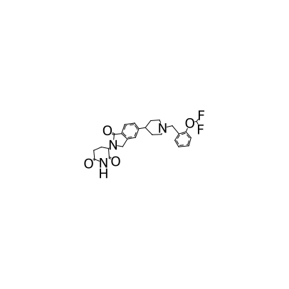 O=C1CCC(N2Cc3cc(C4CCN(Cc5ccccc5OC(F)F)CC4)ccc3C2=O)C(=O)N1